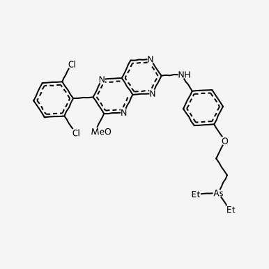 CC[As](CC)CCOc1ccc(Nc2ncc3nc(-c4c(Cl)cccc4Cl)c(OC)nc3n2)cc1